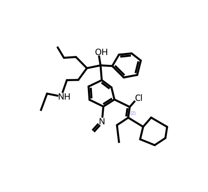 C=Nc1ccc(C(O)(c2ccccc2)C(CCC)CCNCC)cc1/C(Cl)=C(\CC)C1CCCCC1